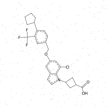 O=C(O)C1CC(n2ccc3cc(OCc4ccc(C5CCCC5)c(C(F)(F)F)c4)cc(Cl)c32)C1